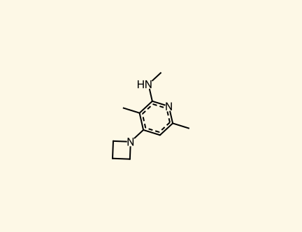 CNc1nc(C)cc(N2CCC2)c1C